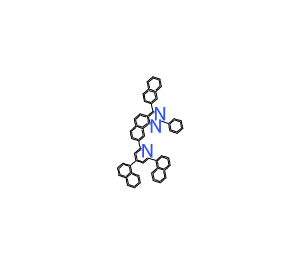 c1ccc(-c2nc(-c3ccc4ccccc4c3)c3ccc4ccc(-c5cc(-c6cccc7ccccc67)cc(-c6cccc7ccccc67)n5)cc4c3n2)cc1